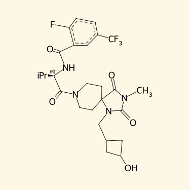 CC(C)[C@@H](NC(=O)c1cc(C(F)(F)F)ccc1F)C(=O)N1CCC2(CC1)C(=O)N(C)C(=O)N2CC1CC(O)C1